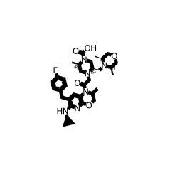 CC1COc2nc(NC3CC3)c(Cc3ccc(F)cc3)cc2N1C(=O)CN1C[C@@H](C)N(C(=O)O)C[C@@H]1CN1[C@H](C)COC[C@H]1C